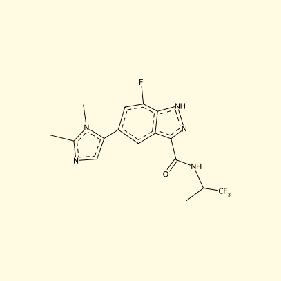 Cc1ncc(-c2cc(F)c3[nH]nc(C(=O)NC(C)C(F)(F)F)c3c2)n1C